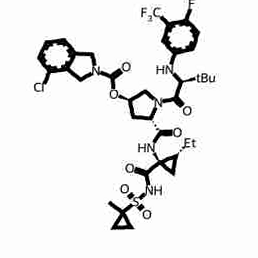 CC[C@@H]1C[C@]1(NC(=O)[C@@H]1C[C@@H](OC(=O)N2Cc3cccc(Cl)c3C2)CN1C(=O)[C@@H](Nc1ccc(F)c(C(F)(F)F)c1)C(C)(C)C)C(=O)NS(=O)(=O)C1(C)CC1